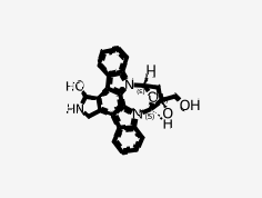 C[C@]12O[C@@H](C[C@]1(O)CO)n1c3ccccc3c3c4c(c5c6ccccc6n2c5c31)CNC4O